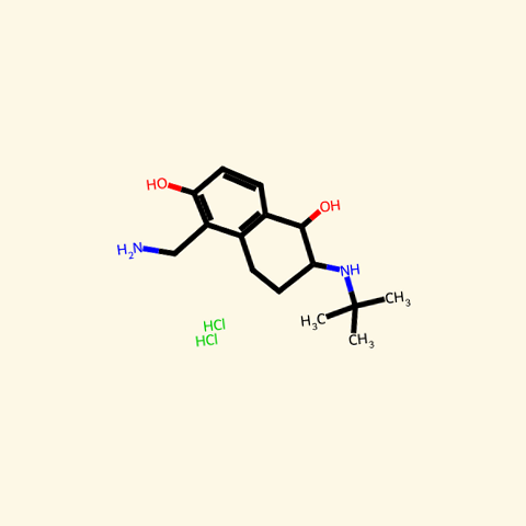 CC(C)(C)NC1CCc2c(ccc(O)c2CN)C1O.Cl.Cl